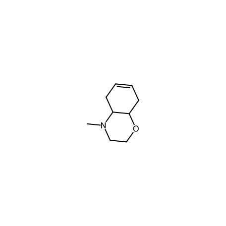 CN1CCOC2CC=CCC21